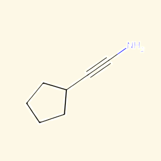 NC#CC1CCCC1